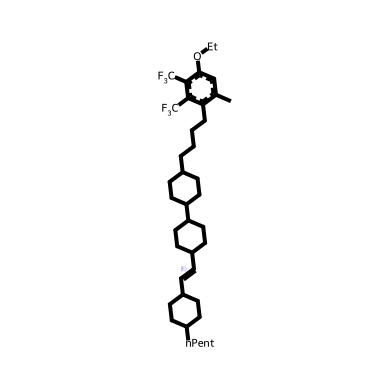 CCCCCC1CCC(/C=C/C2CCC(C3CCC(CCCCc4c(C)cc(OCC)c(C(F)(F)F)c4C(F)(F)F)CC3)CC2)CC1